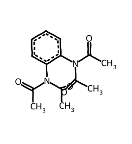 CC(=O)N(C(C)=O)c1ccccc1N(C(C)=O)C(C)=O